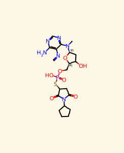 C=Nc1c(N)ncnc1N(C)[C@H]1CC(O)[C@@H](COP(=O)(O)SC2CC(=O)N(C3CCCC3)C2=O)O1